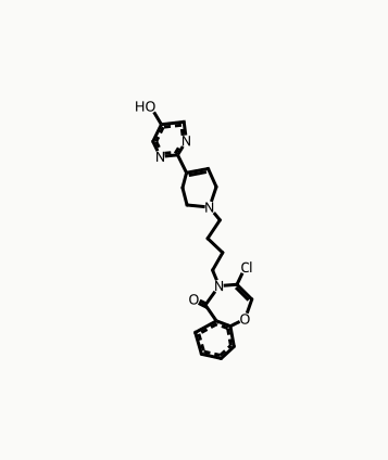 O=C1c2ccccc2OC=C(Cl)N1CCCCN1CC=C(c2ncc(O)cn2)CC1